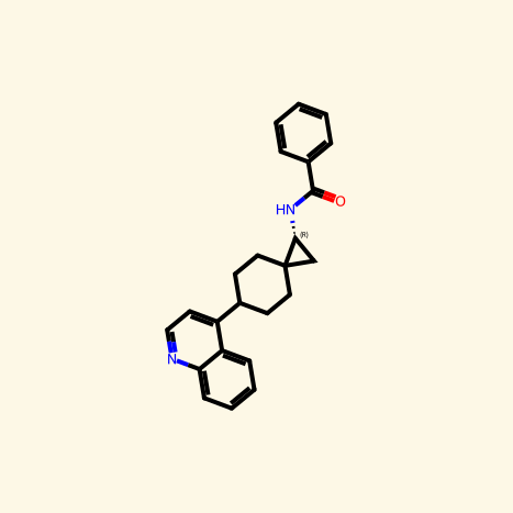 O=C(N[C@@H]1CC12CCC(c1ccnc3ccccc13)CC2)c1ccccc1